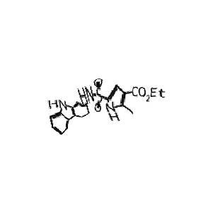 CCOC(=O)c1cc(S(=O)(=O)N[C@@H]2CCc3c([nH]c4ccccc34)C2)[nH]c1C